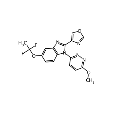 COc1ccc(-n2c(-c3cocn3)nc3cc(OC(C)(F)F)ccc32)nn1